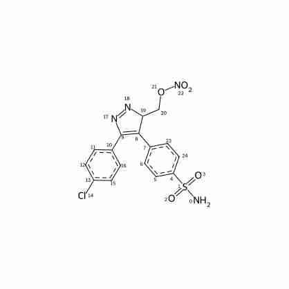 NS(=O)(=O)c1ccc(C2=C(c3ccc(Cl)cc3)N=NC2CO[N+](=O)[O-])cc1